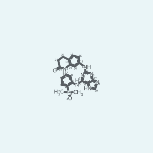 CP(C)(=O)c1ccccc1Nc1nc(Nc2ccc3c(c2)NC(=O)CC3)nc2nc[nH]c12